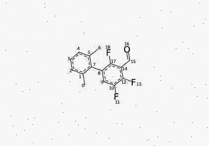 Cc1cccc(C)c1-c1cc(F)c(F)c(C=O)c1F